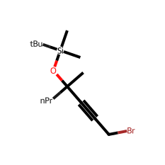 CCCC(C)(C#CCBr)O[Si](C)(C)C(C)(C)C